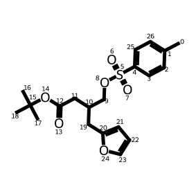 Cc1ccc(S(=O)(=O)OCC(CC(=O)OC(C)(C)C)Cc2ccco2)cc1